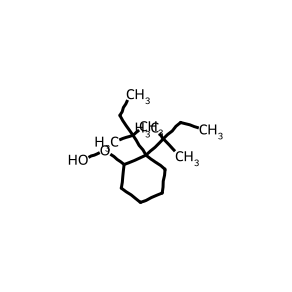 CCC(C)(C)C1(C(C)(C)CC)CCCCC1OO